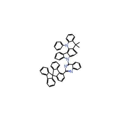 CC1(C)c2ccccc2N(c2ccccc2)c2c1ccc1c2c2ccccc2n1-c1nc(-c2cccc3c2-c2ccccc2C32c3ccccc3-c3ccccc32)nc2ccccc12